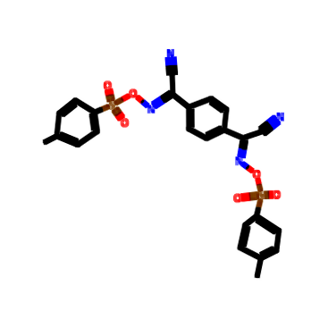 Cc1ccc(S(=O)(=O)ON=C(C#N)c2ccc(C(C#N)=NOS(=O)(=O)c3ccc(C)cc3)cc2)cc1